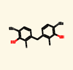 Cc1c(Cc2ccc(C(C)(C)C)c(O)c2C)ccc(C(C)(C)C)c1O